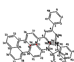 c1ccc(-c2cc(-c3ccc(-c4cccc5cccc(-c6ccc(-n7cnc8ccccc87)cc6)c45)cc3)nc(-c3ccccc3)n2)cc1